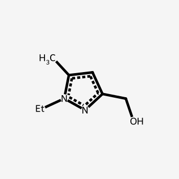 CCn1nc(CO)cc1C